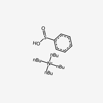 CCCC[N+](CCCC)(CCCC)CCCC.O=S(O)c1ccccc1